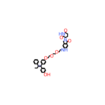 CC/C(=C(\c1ccc(O)cc1)c1ccc(OCCOCCOCCNc2ccc3c(c2)CN(C2CCC(=O)NC2=O)C3=O)cc1)c1ccccc1